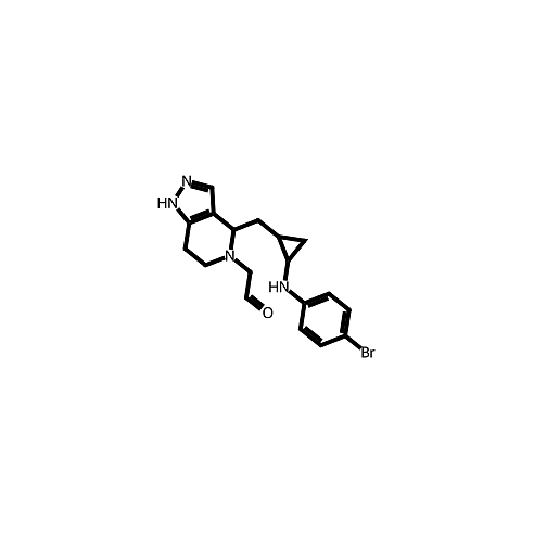 O=CCN1CCc2[nH]ncc2C1CC1CC1Nc1ccc(Br)cc1